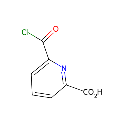 O=C(O)c1cccc(C(=O)Cl)n1